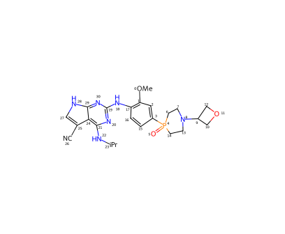 COc1cc(P2(=O)CCN(C3COC3)CC2)ccc1Nc1nc(NC(C)C)c2c(C#N)c[nH]c2n1